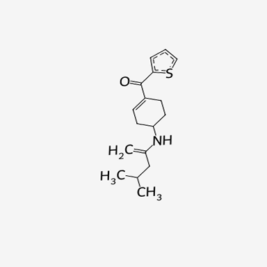 C=C(CC(C)C)NC1CC=C(C(=O)c2cccs2)CC1